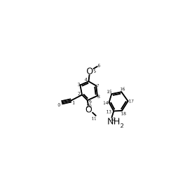 C#Cc1cc(OC)ccc1OC.Nc1ccccc1